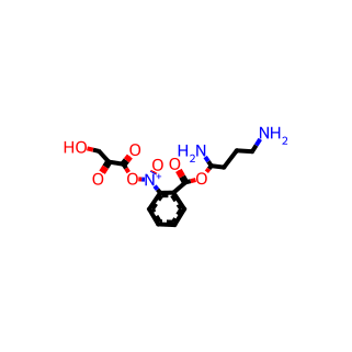 NCCCC(N)OC(=O)c1ccccc1[N+](=O)OC(=O)C(=O)CO